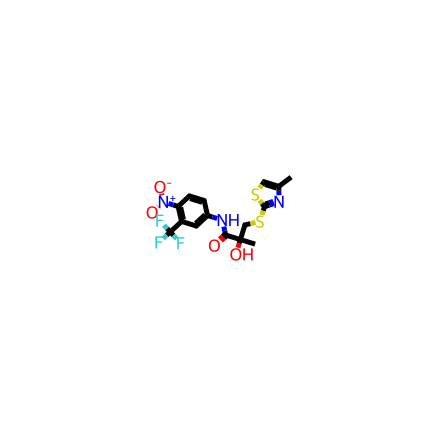 Cc1csc(SCC(C)(O)C(=O)Nc2ccc([N+](=O)[O-])c(C(F)(F)F)c2)n1